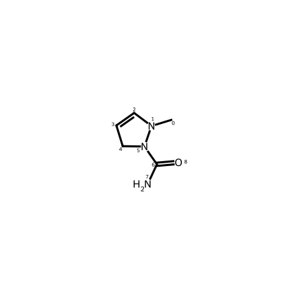 CN1C=CCN1C(N)=O